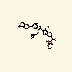 Cc1c(-c2cc3ccc(-c4ccc5c(c4)CNC5=O)nc3n2CC2CC2)oc2cc(C(=O)N3CC4CCC3[C@@H]4N)ccc12